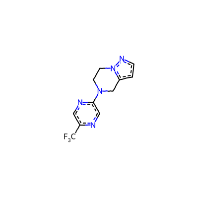 FC(F)(F)c1cnc(N2CCn3nccc3C2)cn1